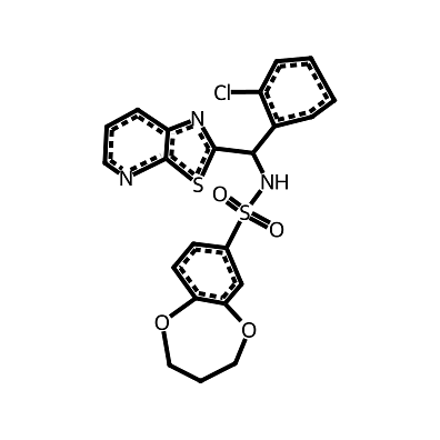 O=S(=O)(NC(c1nc2cccnc2s1)c1ccccc1Cl)c1ccc2c(c1)OCCCO2